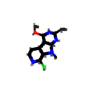 CSc1nc(OC(C)(C)C)c2c3ccnc(Cl)c3n(C)c2n1